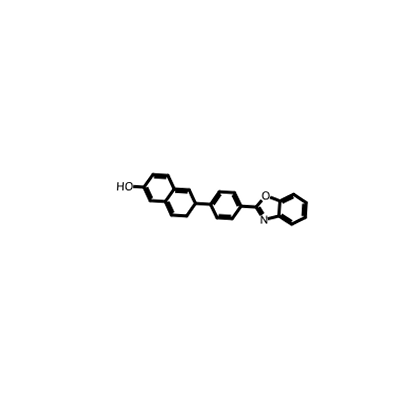 Oc1ccc2c(c1)=CCC(c1ccc(-c3nc4ccccc4o3)cc1)C=2